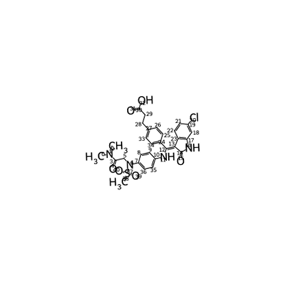 CN(C)C(=O)CN(c1ccc(N/C(=C2\C(=O)Nc3cc(Cl)ccc32)c2ccc(CCC(=O)O)cc2)cc1)S(C)(=O)=O